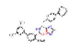 COc1ccc(-c2cc(C(F)(F)F)cc(C(F)(F)F)c2)cc1C(=O)N[C@H](Cc1ccc(-c2ccccc2)cc1)c1nc(C)no1